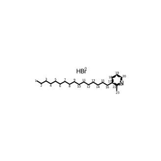 Br.CCCCCCCCCCCCCCCCc1cccnc1C